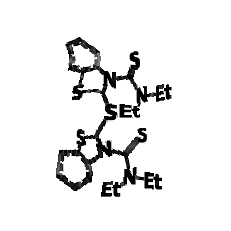 CCN(CC)C(=S)N1c2ccccc2SC1SC1Sc2ccccc2N1C(=S)N(CC)CC